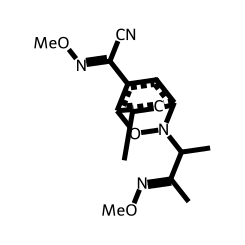 CON=C(C#N)c1cc2cc(C)c1ON2C(C)C(C)=NOC